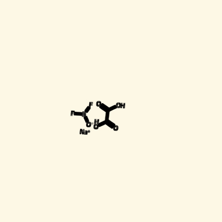 O=C(O)C(=O)O.[Na+].[O-]B(F)F